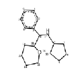 c1ccc(C(NC2CCCC2)C2CCCCO2)cc1